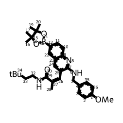 COc1ccc(CNc2nc3ccc(B4OC(C)(C)C(C)(C)O4)cc3cc2C=C(C)C(=O)NCCC(C)(C)C)cc1